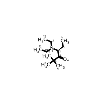 CC[C@@H](C(=O)C(C)(C)C)N(CC)CC